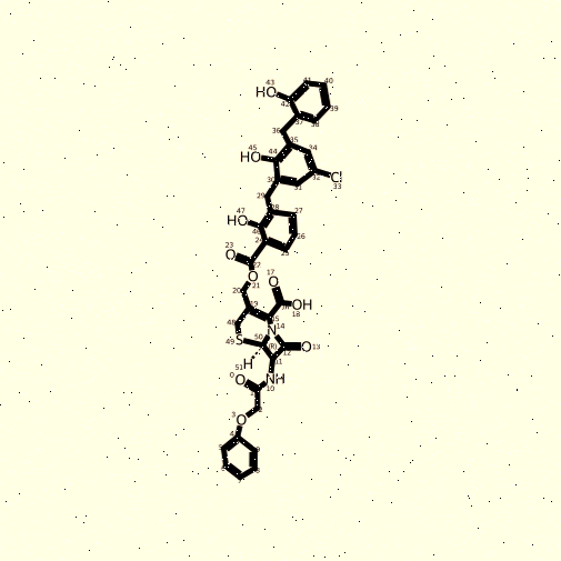 O=C(COc1ccccc1)NC1C(=O)N2C(C(=O)O)=C(COC(=O)c3cccc(Cc4cc(Cl)cc(Cc5ccccc5O)c4O)c3O)CS[C@H]12